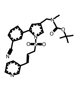 CN(Cc1cc(-c2cccc(C#N)c2)n(S(=O)(=O)CC=Cc2cccnc2)c1)C(=O)OC(C)(C)C